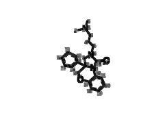 CN(C)CCCN1CC2(c3ccccc3)COc3ccccc3N2C1=O